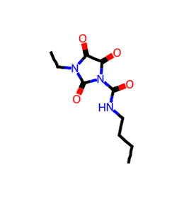 CCCCNC(=O)N1C(=O)C(=O)N(CC)C1=O